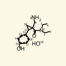 CCN(CC)C(=O)C1(CN)CC1c1ccc(O)cc1.Cl